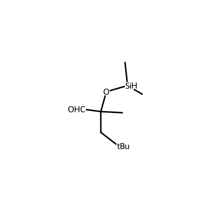 C[SiH](C)OC(C)(C=O)CC(C)(C)C